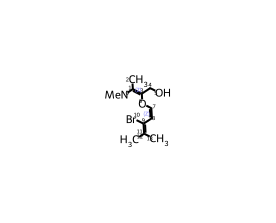 CN/C(C)=C(/CO)O/C=C\C(Br)=C(C)C